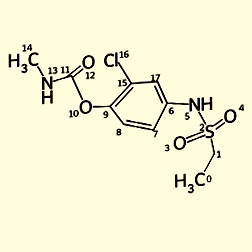 CCS(=O)(=O)Nc1ccc(OC(=O)NC)c(Cl)c1